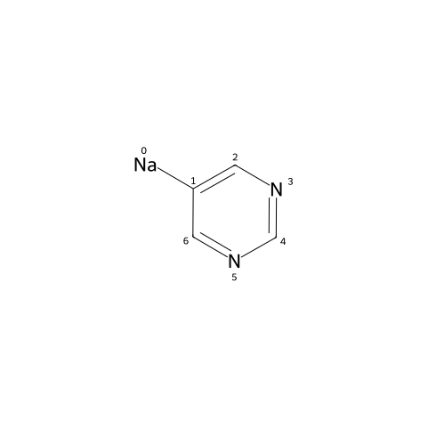 [Na][c]1cncnc1